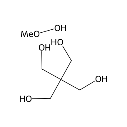 COO.OCC(CO)(CO)CO